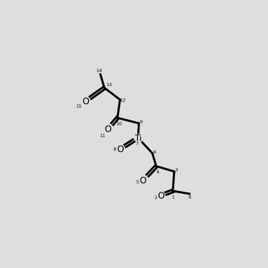 CC(=O)CC(=O)[CH2][Ti](=[O])[CH2]C(=O)CC(C)=O